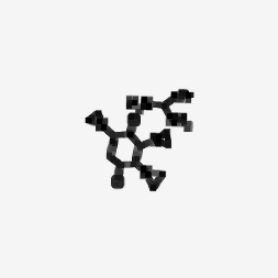 CCCC(N)N.O=C1C=C(N2CC2)C(=O)C(N2CC2)=C1N1CC1